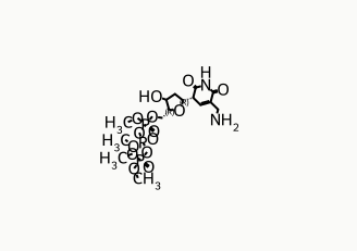 COP(=O)(OC)OP(=O)(OC)OP(=O)(OC)OC[C@H]1O[C@@H](C2C=C(CN)C(=O)NC2=O)CC1O